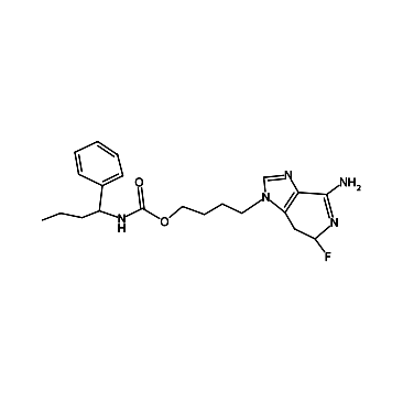 CCCC(NC(=O)OCCCCn1cnc2c1CC(F)N=C2N)c1ccccc1